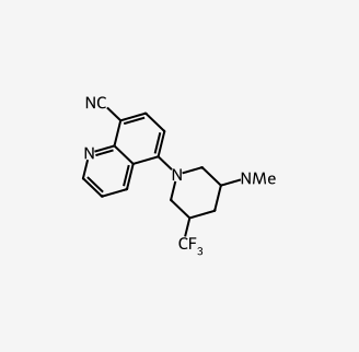 CNC1CC(C(F)(F)F)CN(c2ccc(C#N)c3ncccc23)C1